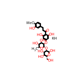 COc1ccc(CCC(=O)c2c(O)cc(O[C@H]3[C@H](O[C@@H]4[C@@H](O)[C@H](O)[C@@H](CO)O[C@H]4O)O[C@@H](C)[C@H](O)[C@H]3O)cc2O)cc1O.[KH]